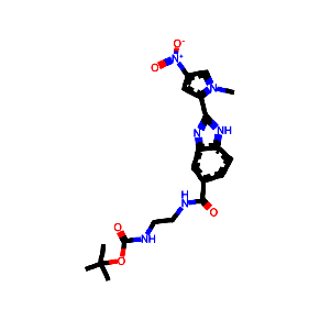 Cn1cc([N+](=O)[O-])cc1-c1nc2cc(C(=O)NCCNC(=O)OC(C)(C)C)ccc2[nH]1